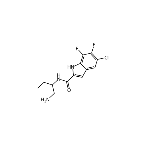 CCC(CN)NC(=O)c1cc2cc(Cl)c(F)c(F)c2[nH]1